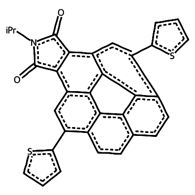 CC(C)n1c(=O)c2c3cc(-c4cccs4)c4ccc5ccc6c(-c7cccs7)cc(c2c1=O)c1c6c5c4c31